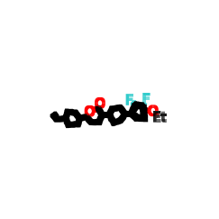 C=CC1CCC(C2CCC(C3CCC(c4ccc(OCC)c(F)c4F)CC3)C(=O)O2)CC1